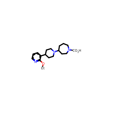 CCOc1ncccc1C1CCN(C2CCCN(C(=O)O)CC2)CC1